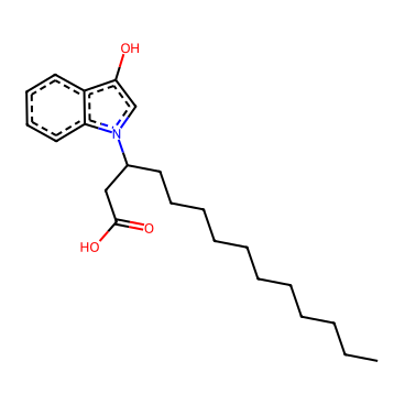 CCCCCCCCCCCC(CC(=O)O)n1cc(O)c2ccccc21